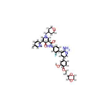 COc1cc(-c2cnc(N)c(-c3ccc(NC(=O)c4cn(CC5CCOCC5)cc(-c5ccc(C)cn5)c4=O)cc3F)c2)ccc1OCC[C@H]1COCCO1